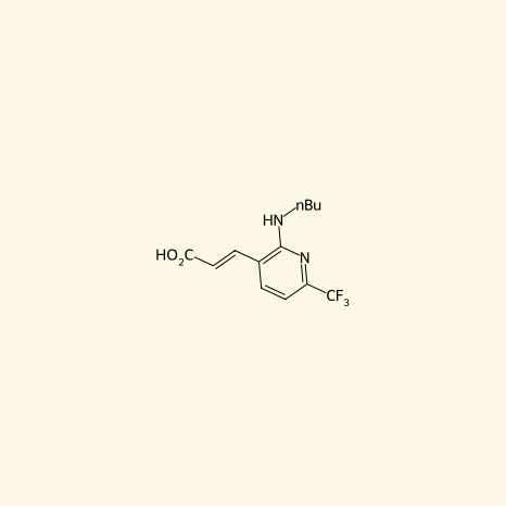 CCCCNc1nc(C(F)(F)F)ccc1C=CC(=O)O